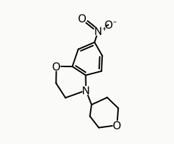 O=[N+]([O-])c1ccc2c(c1)OCCN2C1CCOCC1